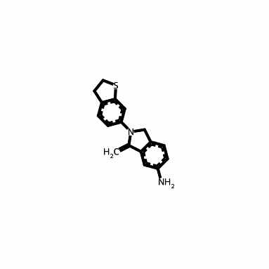 C=C1c2cc(N)ccc2CN1c1ccc2c(c1)SCC2